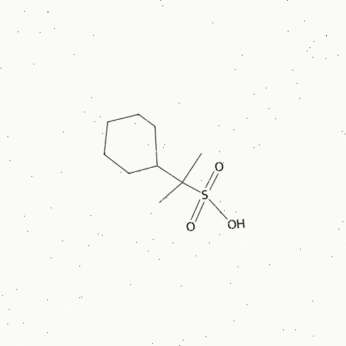 CC(C)(C1CCCCC1)S(=O)(=O)O